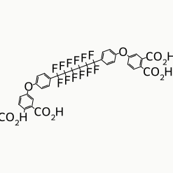 O=C(O)c1ccc(Oc2ccc(C(F)(F)C(F)(F)C(F)(F)C(F)(F)C(F)(F)C(F)(F)c3ccc(Oc4ccc(C(=O)O)c(C(=O)O)c4)cc3)cc2)cc1C(=O)O